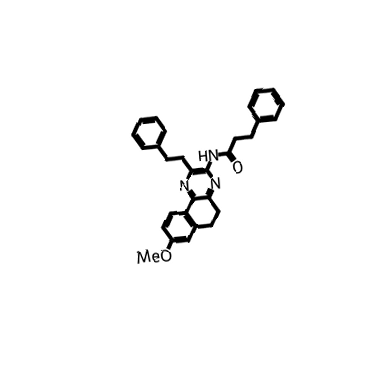 COc1ccc2c(c1)CCc1nc(NC(=O)CCc3ccccc3)c(CCc3ccccc3)nc1-2